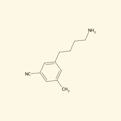 Cc1cc(C#N)cc(CCCCN)c1